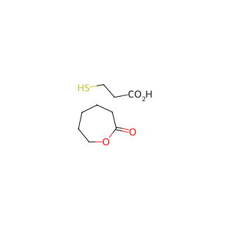 O=C(O)CCS.O=C1CCCCCO1